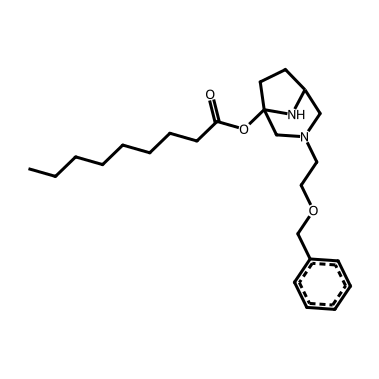 CCCCCCCCC(=O)OC12CCC(CN(CCOCc3ccccc3)C1)N2